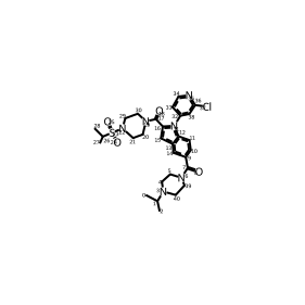 CC(C)N1CCN(C(=O)c2ccc3c(c2)cc(C(=O)N2CCN(S(=O)(=O)C(C)C)CC2)n3-c2ccnc(Cl)c2)CC1